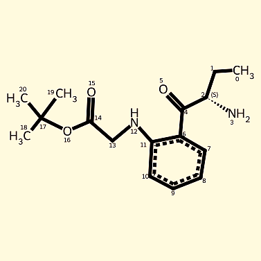 CC[C@H](N)C(=O)c1ccccc1NCC(=O)OC(C)(C)C